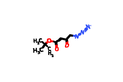 CC(C)(C)OC(=O)CC(=O)CN=[N+]=[N-]